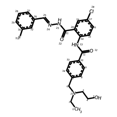 CCN(CCO)Cc1ccc(C(=O)Nc2ccc(Cl)cc2C(=O)N/N=C/c2cccc(F)c2)cc1